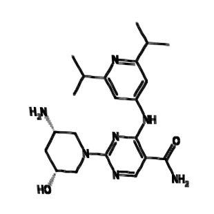 CC(C)c1cc(Nc2nc(N3C[C@@H](N)C[C@@H](O)C3)ncc2C(N)=O)cc(C(C)C)n1